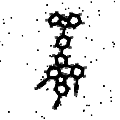 N#Cc1ccc2c(c1)c1c(C#N)cccc1n2-c1c(C#N)cccc1-c1cccc(-c2ccc(-n3c4ccccc4c4ccccc43)cc2)c1